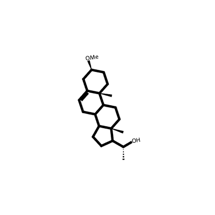 CO[C@H]1CC[C@@]2(C)C(=CCC3C4CCC([C@@H](C)O)[C@@]4(C)CCC32)C1